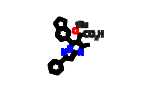 Cc1nc2cc(-c3ccccc3)nn2c(-c2ccc3c(c2)CCC3)c1C(OC(C)(C)C)C(=O)O